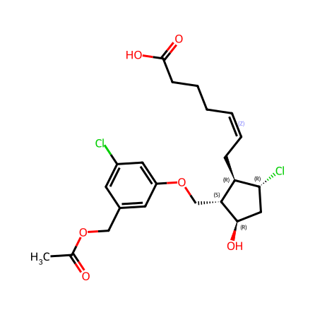 CC(=O)OCc1cc(Cl)cc(OC[C@@H]2[C@@H](C/C=C\CCCC(=O)O)[C@H](Cl)C[C@H]2O)c1